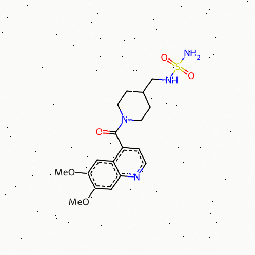 COc1cc2nccc(C(=O)N3CCC(CNS(N)(=O)=O)CC3)c2cc1OC